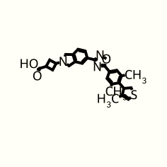 CC1=CSCC1c1c(C)cc(-c2nc(-c3ccc4c(c3)CN(C3CC(C(=O)O)C3)C4)no2)cc1C